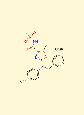 COc1cccc(CN(c2ccc(C#N)cc2)c2nc(C(=O)NS(C)(=O)=O)c(C)s2)c1